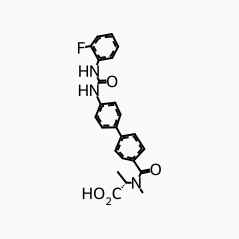 C[C@@H](C(=O)O)N(C)C(=O)c1ccc(-c2ccc(NC(=O)Nc3ccccc3F)cc2)cc1